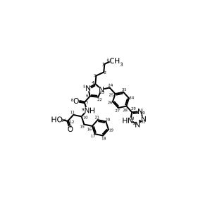 CCCCc1nc(C(=O)NC(CC(=O)O)Cc2ccccc2)cn1Cc1ccc(-c2nnn[nH]2)cc1